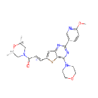 COc1ccc(-c2nc(N3CCOCC3)c3sc(/C=C/C(=O)N4C[C@@H](C)O[C@@H](C)C4)cc3n2)cn1